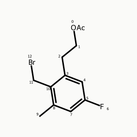 CC(=O)OCCc1cc(F)cc(C)c1CBr